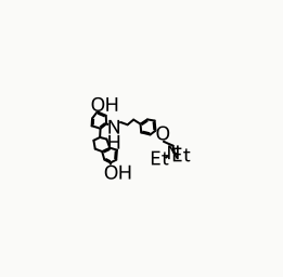 CCN(CC)CCOc1ccc(CCCNc2cc(O)ccc2C2CCc3cc(O)ccc3C2)cc1